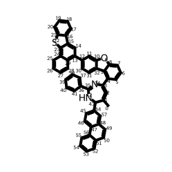 CC1=C=C(c2cccc3oc4cc(-c5cc6c7ccccc7sc6c6ccccc56)ccc4c23)N=C(c2ccccc2)NC1c1ccc2c(ccc3ccccc32)c1